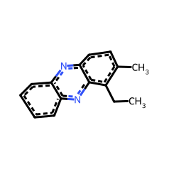 CCc1c(C)ccc2nc3ccccc3nc12